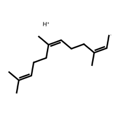 [CH2]C=C(C)CCC=C(C)CCC=C(C)C.[H+]